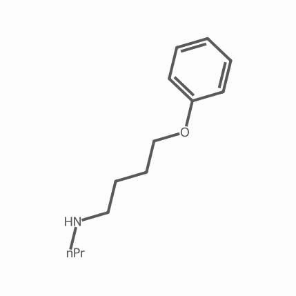 CCCNCCCCOc1ccccc1